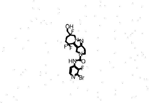 O=C(Nc1ccnc(Br)c1F)N1CCc2nn3c(c2C1)C(F)(F)CC[C@](F)(CO)C3